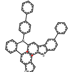 c1ccc(-c2ccc(N(c3ccc4sc5ccc(-c6ccccc6)cc5c4c3)c3ccccc3-c3ccc4ccoc4c3)cc2)cc1